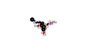 CCC(=O)O[C@@H]1CC[C@@]2(C)[C@@H](C1)C[C@@H](OC(=O)CNC(=O)OC(C)(C)C)[C@@H]1[C@@H]2C[C@H](OC(=O)CC)[C@]2(C)[C@@H]([C@@H](C)CCCN(C)Cc3ccccc3)CC[C@@H]12